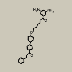 Nc1cc(N)cc(C(=O)CCCCCCOc2ccc(-c3ccc(C(=O)C=Cc4ccccc4)cc3)cc2)c1